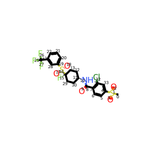 CS(=O)(=O)c1ccc(C(=O)N[C@H]2CC[C@](F)(S(=O)(=O)c3cccc(C(F)(F)F)c3)CC2)c(Cl)c1